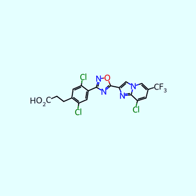 O=C(O)CCc1cc(Cl)c(-c2noc(-c3cn4cc(C(F)(F)F)cc(Cl)c4n3)n2)cc1Cl